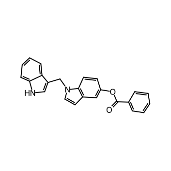 O=C(Oc1ccc2c(ccn2Cc2c[nH]c3ccccc23)c1)c1ccccc1